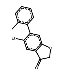 CCc1cc2c(cc1-c1ccccc1C)OCC2=O